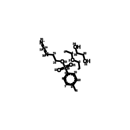 CCOCC.Cc1ccc(S(=O)(=O)OCCN=[N+]=[N-])cc1.OCCO